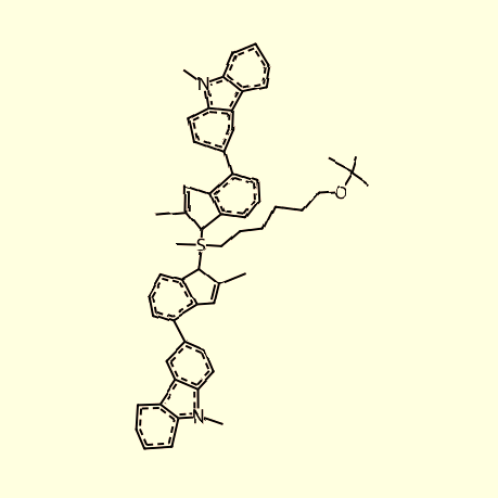 CC1=Cc2c(-c3ccc4c(c3)c3ccccc3n4C)cccc2C1S(C)(CCCCCCOC(C)(C)C)C1C(C)=Cc2c(-c3ccc4c(c3)c3ccccc3n4C)cccc21